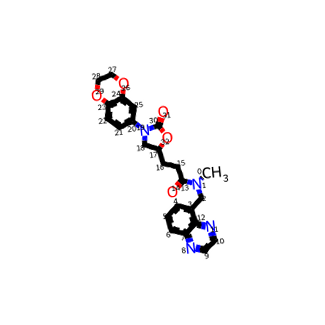 CN(Cc1cccc2nccnc12)C(=O)CCC1CN(c2ccc3c(c2)OCCO3)C(=O)O1